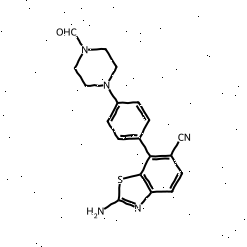 N#Cc1ccc2nc(N)sc2c1-c1ccc(N2CCN(C=O)CC2)cc1